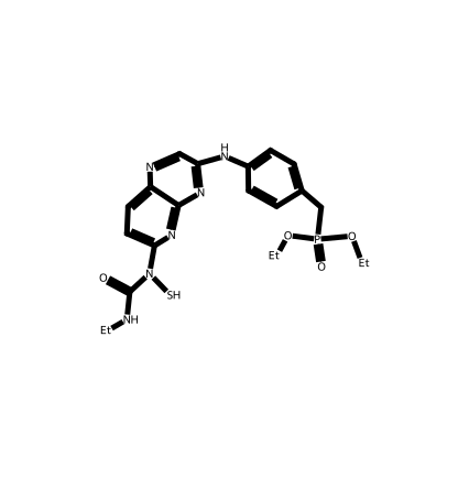 CCNC(=O)N(S)c1ccc2ncc(Nc3ccc(CP(=O)(OCC)OCC)cc3)nc2n1